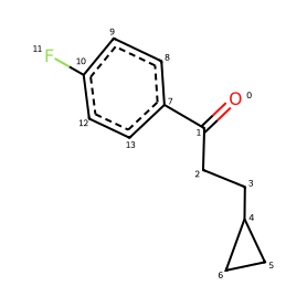 O=C(CCC1CC1)c1ccc(F)cc1